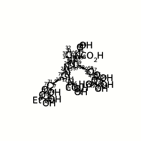 CCC1OC(Oc2ccc(C#Cc3cc(CN(CCOO)CC(=O)O)nc(CN(CCc4ccc(C)cc4)Cc4cc(C#Cc5ccc(OC6OC(CO)C(O)C(O)C6O)cc5)cc(CN(CCOO)CC(=O)O)n4)c3)cc2)C(O)C(O)C1O